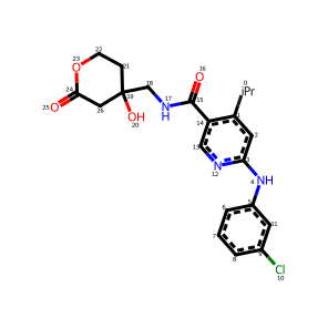 CC(C)c1cc(Nc2cccc(Cl)c2)ncc1C(=O)NCC1(O)CCOC(=O)C1